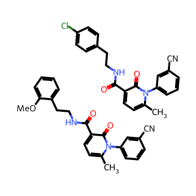 COc1ccccc1CCNC(=O)c1ccc(C)n(-c2cccc(C#N)c2)c1=O.Cc1ccc(C(=O)NCCc2ccc(Cl)cc2)c(=O)n1-c1cccc(C#N)c1